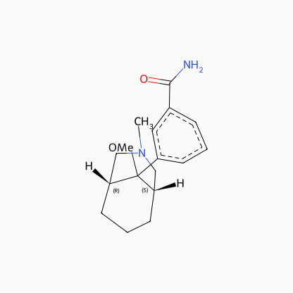 COC1(c2cccc(C(N)=O)c2)[C@@H]2CCC[C@H]1CN(C)C2